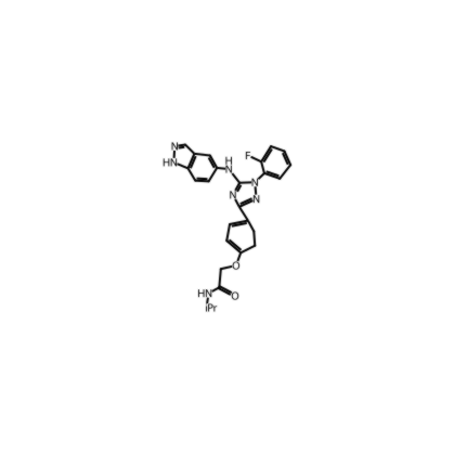 CC(C)NC(=O)COC1=CC=C(c2nc(Nc3ccc4[nH]ncc4c3)n(-c3ccccc3F)n2)CC1